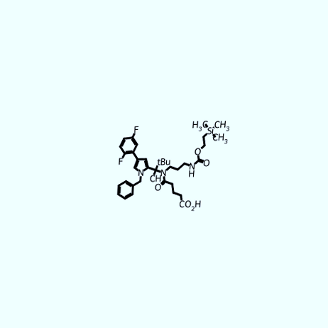 CC(C)(C)C(C)(c1cc(-c2cc(F)ccc2F)cn1Cc1ccccc1)N(CCCNC(=O)OCC[Si](C)(C)C)C(=O)CCCC(=O)O